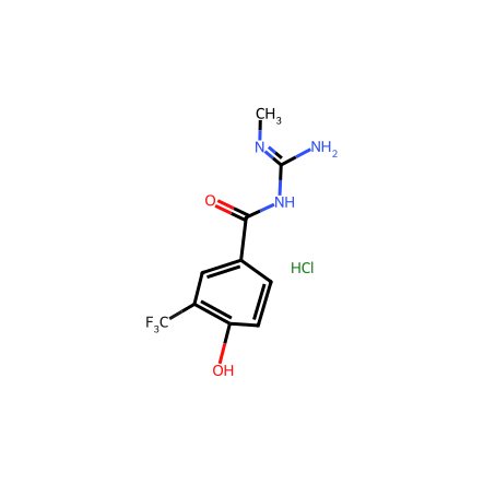 CN=C(N)NC(=O)c1ccc(O)c(C(F)(F)F)c1.Cl